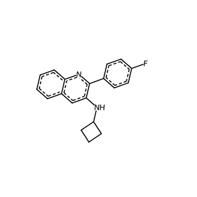 Fc1ccc(-c2nc3ccccc3cc2NC2CCC2)cc1